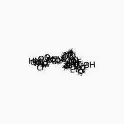 CCc1cccc2cc(O)cc(-c3ncc4c(N5CC6CCC(C5)N6)nc(OCC5(CN6CCN(CC7CCC8(CC7)CCN(C(=O)c7ccc(Cl)c(N9CCC(=O)NC9=O)c7)CC8)CC6)CC5)nc4c3F)c12